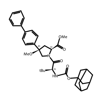 COC(=O)[C@@H]1C[C@@](OC)(c2ccc(-c3ccccc3)cc2)CN1C(=O)[C@@H](NC(=O)OC12CC3CC(CC(C3)C1)C2)C(C)(C)C